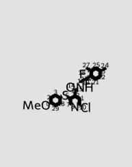 COc1ccc(Sc2cnc(Cl)cc2C(=O)NCC(F)(F)c2ccc(C)cc2C)cc1